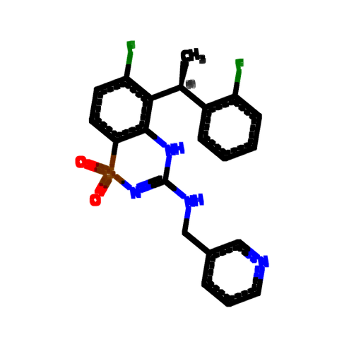 C[C@@H](c1ccccc1F)c1c(F)ccc2c1NC(NCc1cccnc1)=NS2(=O)=O